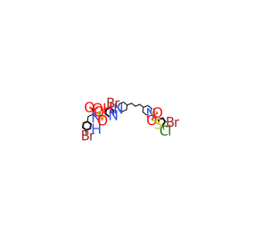 O=C(O)C(Cc1ccc(Br)cc1)NS(=O)(=O)c1cnc(N2CCC(CCCC3CCN(S(=O)(=O)c4cc(Br)c(Cl)s4)CC3)CC2)c(Br)c1